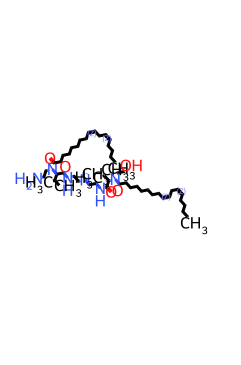 CCCCC/C=C\C/C=C\CCCCCCCC(=O)N(CCN)C(C(=O)NCCN(C)CCNC(=O)C(C(C)C)N(CCO)C(=O)CCCCCCC/C=C\C/C=C\CCCCC)C(C)C